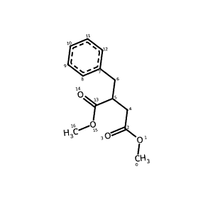 COC(=O)CC(Cc1ccccc1)C(=O)OC